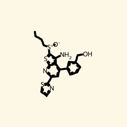 CCCC[S+]([O-])c1sc2nc(-c3nccs3)cc(-c3cccc(CO)c3)c2c1N